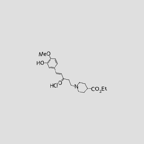 CCOC(=O)C1CCN(CCC(=O)C=Cc2ccc(OC)c(O)c2)CC1.Cl